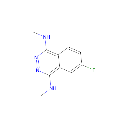 CNc1nnc(NC)c2cc(F)ccc12